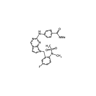 CNC(=O)c1ccc(Nc2ncc3ccn(Cc4cc(F)ccc4N(C)S(C)(=O)=O)c3n2)cc1